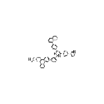 CC1C=Cc2c(c3ccccc3c3cc(-c4cccc(-c5nc(-c6ccc(-c7cccnc7)cc6)cc(-c6ccc(-c7cccc8ccccc78)cc6)n5)c4)ccc23)C1